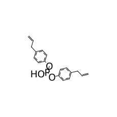 C=CCc1ccc(OP(O)Oc2ccc(CC=C)cc2)cc1